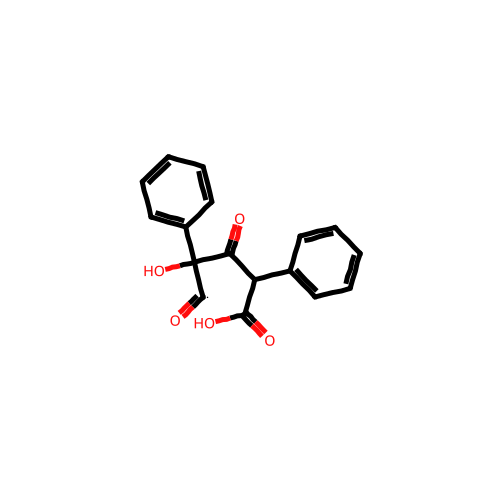 O=[C]C(O)(C(=O)C(C(=O)O)c1ccccc1)c1ccccc1